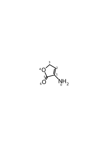 NC1=CCOC1=O